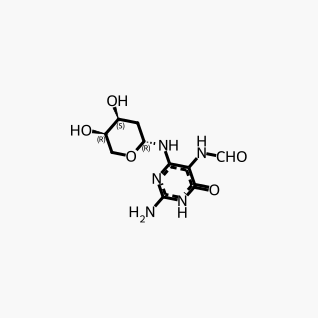 Nc1nc(N[C@H]2C[C@H](O)[C@H](O)CO2)c(NC=O)c(=O)[nH]1